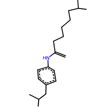 C=C(CCCCCC(C)C)Nc1ccc(CC(C)C)cc1